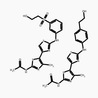 CC(=O)Nc1nc(C)c(-c2csc(Nc3ccc(CCO)cc3)n2)s1.CC(=O)Nc1nc(C)c(-c2csc(Nc3cccc(S(=O)(=O)CCO)c3)n2)s1